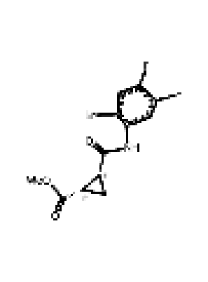 COC(=O)[C@H]1C[C@@H]1C(=O)Nc1cc(F)c(F)cc1Br